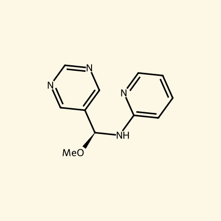 CO[C@H](Nc1ccccn1)c1cncnc1